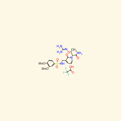 COc1ccc(S(=O)(=O)NCc2cccn(C(C(N)=O)C(C)ON=C(N)N)c2=O)cc1OC.O=C(O)C(F)(F)F